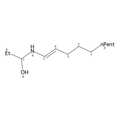 CCCCCCCCC=CNC(O)CC